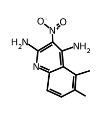 Cc1ccc2nc(N)c([N+](=O)[O-])c(N)c2c1C